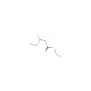 CCOC(=O)[C@@H](N)C(C)CC